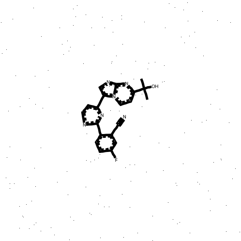 CC(C)(O)c1ccn2c(-c3ccnc(-c4ccc(F)cc4C#N)n3)cnc2n1